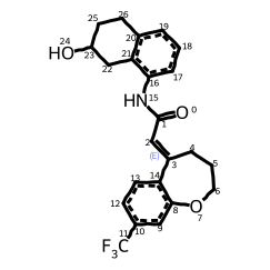 O=C(/C=C1\CCCOc2cc(C(F)(F)F)ccc21)Nc1cccc2c1CC(O)CC2